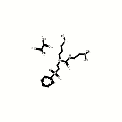 CCOCCCN(CCS(=O)(=O)c1ccccc1)C(=O)NCCN(CC)CC.O=C(O)C(=O)O